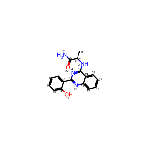 C[C@@H](Nc1nc(-c2ccccc2O)nc2ccccc12)C(N)=O